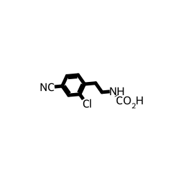 N#Cc1ccc(CCNC(=O)O)c(Cl)c1